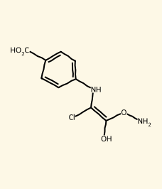 NO/C(O)=C(/Cl)Nc1ccc(C(=O)O)cc1